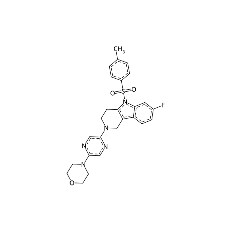 Cc1ccc(S(=O)(=O)n2c3c(c4ccc(F)cc42)CN(c2cnc(N4CCOCC4)cn2)CC3)cc1